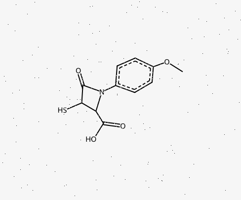 COc1ccc(N2C(=O)C(S)C2C(=O)O)cc1